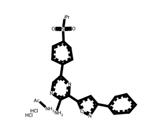 CC(C)S(=O)(=O)c1ccc(-c2cnc(N)c(-c3cc(-c4ccccc4)no3)n2)cc1.CC(N)=O.Cl.Cl